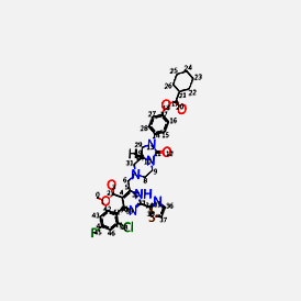 COC(=O)C1=C(CN2CCN3C(=O)N(c4ccc(OC(=O)C5CCCCC5)cc4)C[C@@H]3C2)NC(c2nccs2)=N[C@H]1c1ccc(F)cc1Cl